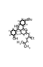 CCN(CCN(C)C)CC1CCC2C(c3cccc(O)c3)Nc3ccc(C(C)(C)C)cc3C2O1